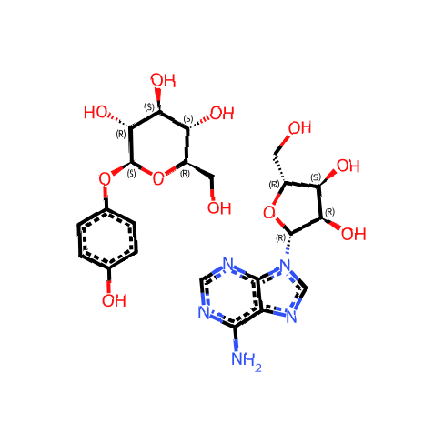 Nc1ncnc2c1ncn2[C@@H]1O[C@H](CO)[C@@H](O)[C@H]1O.OC[C@H]1O[C@@H](Oc2ccc(O)cc2)[C@H](O)[C@@H](O)[C@@H]1O